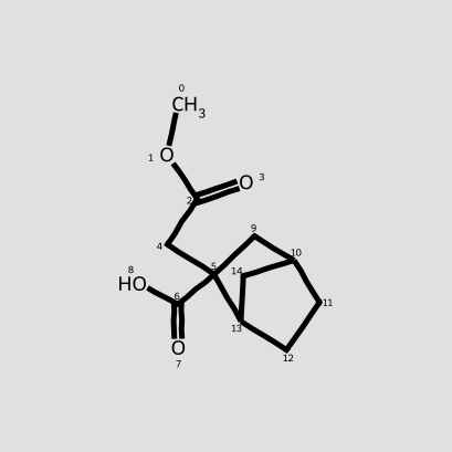 COC(=O)CC1(C(=O)O)CC2CCC1C2